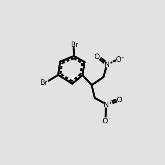 O=[N+]([O-])CC(C[N+](=O)[O-])c1cc(Br)cc(Br)c1